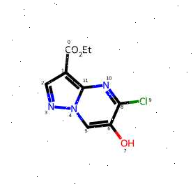 CCOC(=O)c1cnn2cc(O)c(Cl)nc12